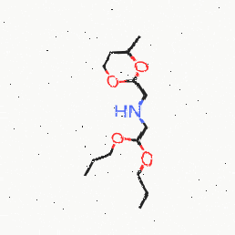 CCCOC(CNCC1OCCC(C)O1)OCCC